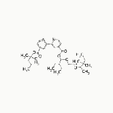 CCCC(C)(C)OC(=O)c1ccnc(-c2cc(C(=O)OC(OCCOC(C)C(C)(C)CC)C(CC)CC)ccn2)c1